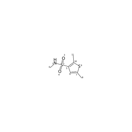 CNS(=O)(=O)c1cc(C)sc1C